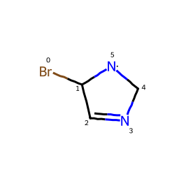 BrC1C=NC[N]1